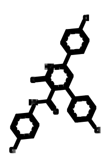 O=C(Nc1ccc(Cl)cc1)c1c(-c2ccc(Cl)cc2)cc(-c2ccc(Cl)cc2)[nH]c1=O